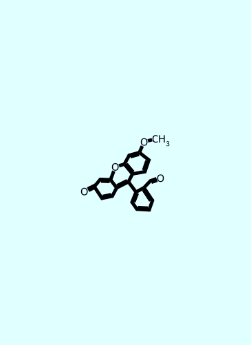 COc1ccc2c(-c3ccccc3C=O)c3ccc(=O)cc-3oc2c1